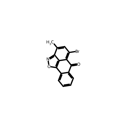 Cc1cc(Br)c2c3c(onc13)-c1ccccc1C2=O